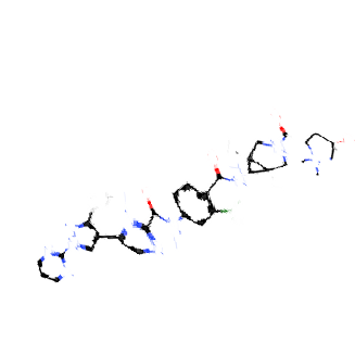 C[N+]1(C)C[C@H](O)C[C@H]1C(=O)N1C[C@@H]2[C@H](C1)[C@H]2NC(=O)c1ccc(NC(=O)c2ncc(-c3cn(-c4ncccn4)nc3C(F)(F)F)[nH]2)cc1Cl